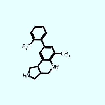 Cc1cc(-c2ccccc2C(F)(F)F)cc2c1NCC1CNCC21